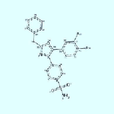 NS(=O)(=O)c1ccc(-c2nc(Cc3ccccc3)oc2-c2ccc(F)c(F)c2)cc1